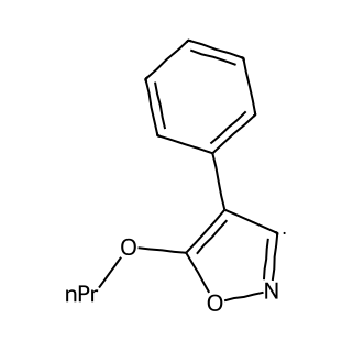 CCCOc1on[c]c1-c1ccccc1